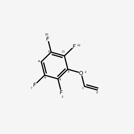 C=COc1c(F)c(F)cc(F)c1F